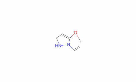 C1=CN2NCC=C2OC1